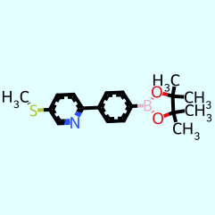 CSc1ccc(-c2ccc(B3OC(C)(C)C(C)(C)O3)cc2)nc1